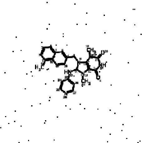 Cc1cccc2cc(CN3c4c(c(=O)[nH]c(=O)n4C)N(C)C3Nc3ccncc3)ccc12